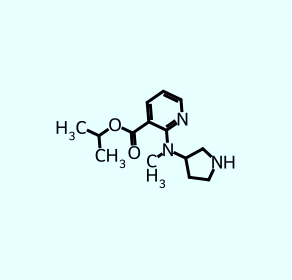 CC(C)OC(=O)c1cccnc1N(C)C1CCNC1